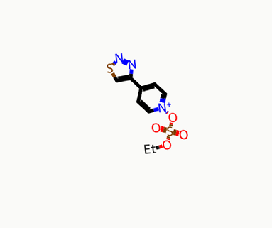 CCOS(=O)(=O)O[n+]1ccc(-c2csnn2)cc1